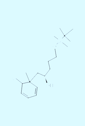 C[C@@H](CCO[Si](C)(C)C(C)(C)C)[C@@H](O)CC1(C)C=CC=CC1Cl